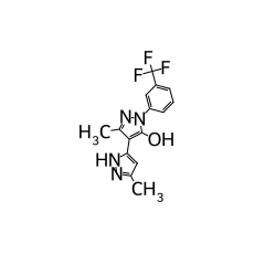 Cc1cc(-c2c(C)nn(-c3cccc(C(F)(F)F)c3)c2O)[nH]n1